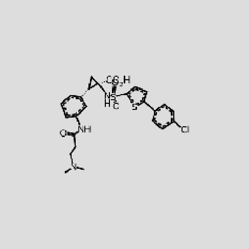 CN(C)CCC(=O)Nc1cccc([C@@H]2C[C@]2(NS(=O)(=O)c2ccc(-c3ccc(Cl)cc3)s2)C(=O)O)c1